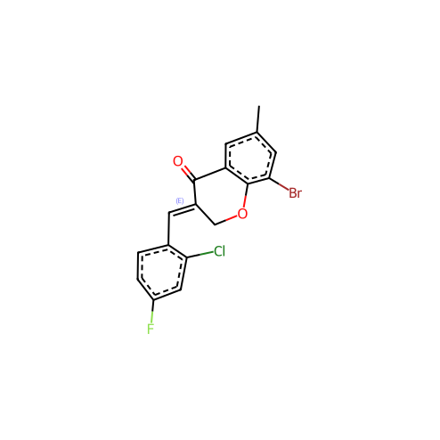 Cc1cc(Br)c2c(c1)C(=O)/C(=C/c1ccc(F)cc1Cl)CO2